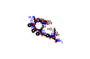 CC(C)[C@H](NC(=O)CCC(=O)O)C(=O)N[C@@H](CCCNC(N)=O)C(=O)Nc1ccc(COC(=O)N[C@H](Cc2ccccc2)C(=O)N[C@H]2CSSC[C@@H](C(=O)N[C@H](CO)[C@@H](C)O)NC(=O)C([C@@H](C)O)NC(=O)[C@H](CCCCN)NC(=O)[C@@H](Cc3c[nH]c4ccccc34)NC(=O)[C@H](Cc3ccccc3)NC2=O)cc1